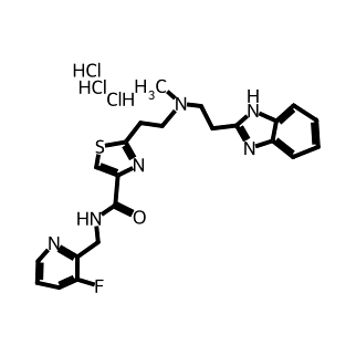 CN(CCc1nc2ccccc2[nH]1)CCc1nc(C(=O)NCc2ncccc2F)cs1.Cl.Cl.Cl